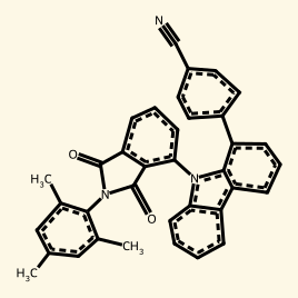 Cc1cc(C)c(N2C(=O)c3cccc(-n4c5ccccc5c5cccc(-c6ccc(C#N)cc6)c54)c3C2=O)c(C)c1